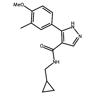 COc1ccc(-c2[nH]ncc2C(=O)NCC2CC2)cc1C